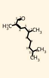 CC(C=O)=CCC(C)CCCC(C)C